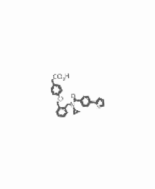 O=C(O)Cc1ccc(OCc2ccccc2CN(C(=O)c2ccc(-c3cccs3)cc2)C2CC2)cc1